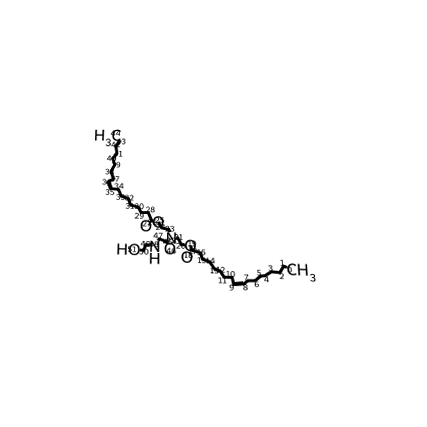 CCCCCCCC/C=C\CCCCCCCC(=O)OCCN(CCOC(=O)CCCCCCC/C=C\CCCCCCCC)C(=O)CNCCO